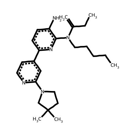 C=C(CC)N(CCCCC)c1nc(-c2ccnc(N3CCC(C)(C)C3)c2)ccc1N